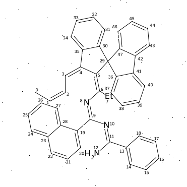 C\C=C/C=C1\C(=C(CC)/N=C(\N=C(/N)c2ccccc2)c2cccc3ccccc23)C2(c3ccccc31)c1ccccc1-c1ccccc12